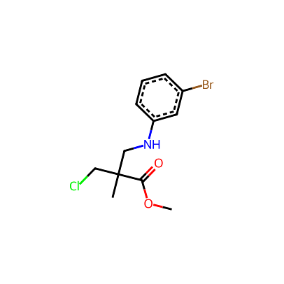 COC(=O)C(C)(CCl)CNc1cccc(Br)c1